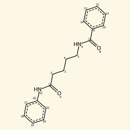 O=C(CCCCNC(=O)c1ccccc1)Nc1ccccc1